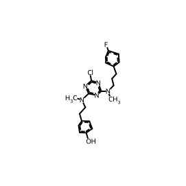 CN(CCCc1ccc(F)cc1)c1nc(Cl)nc(N(C)CCc2ccc(O)cc2)n1